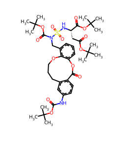 CC(C)(C)OC(=O)C[C@H](NS(=O)(=O)N(Cc1cccc2c1OCCCc1cc(NC(=O)OC(C)(C)C)ccc1C(=O)O2)C(=O)OC(C)(C)C)C(=O)OC(C)(C)C